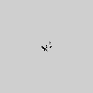 [Co].[Fe].[Ir].[Ru]